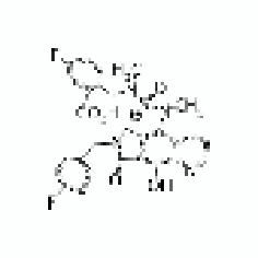 CN(Cc1ccc(F)cc1C(=O)O)S(=O)(=O)N(C)c1c2c(c(O)c3ncccc13)C(=O)N(Cc1ccc(F)cc1)C2